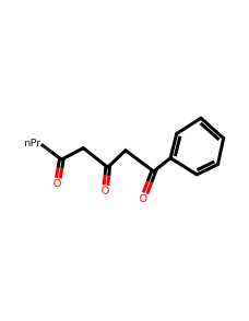 CCCC(=O)CC(=O)CC(=O)c1ccccc1